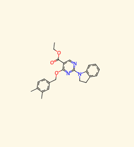 CCOC(=O)c1cnc(N2CCc3ccccc32)nc1OCc1ccc(C)c(C)c1